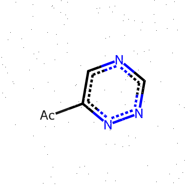 CC(=O)c1cncnn1